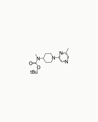 Cc1cncc(N2CCC(N(C)C(=O)OC(C)(C)C)CC2)n1